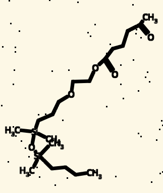 CCCC[Si](C)(C)O[Si](C)(C)CCCOCCOC(=O)CCCC(C)=O